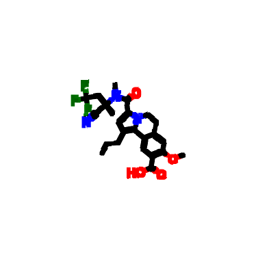 CCCc1cc(C(=O)N(C)[C@](C)(C#N)CC(F)(F)F)n2c1-c1cc(C(=O)O)c(OC)cc1CC2